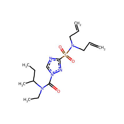 C=CCN(CC=C)S(=O)(=O)c1ncn(C(=O)N(CC)C(C)CC)n1